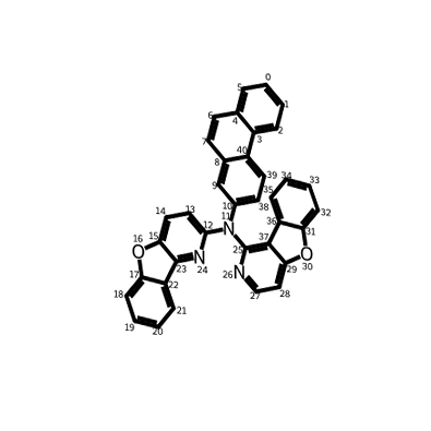 c1ccc2c(c1)ccc1cc(N(c3ccc4oc5ccccc5c4n3)c3nccc4oc5ccccc5c34)ccc12